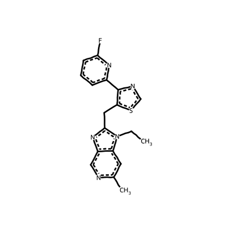 CCn1c(Cc2scnc2-c2cccc(F)n2)nc2cnc(C)cc21